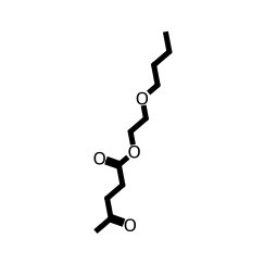 CCCCOCCOC(=O)CCC(C)=O